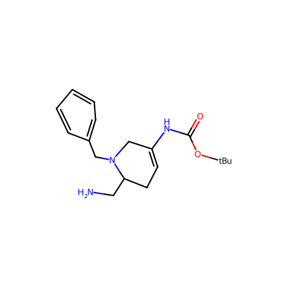 CC(C)(C)OC(=O)NC1=CCC(CN)N(Cc2ccccc2)C1